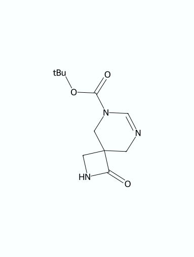 CC(C)(C)OC(=O)N1C=NCC2(CNC2=O)C1